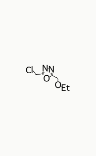 CCOCc1nnc(CCl)o1